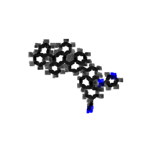 N#Cc1cc2ccc3c(-c4ccc(-c5c6ccccc6c(-c6cccc7ccccc67)c6ccccc56)c5ccccc45)ccc4c3c2c(c1)n4-c1cccnc1